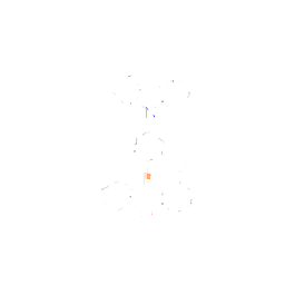 O=P12c3ccccc3Oc3cccc(c31)Oc1cc(-n3c4ccccc4c4ccccc43)ccc12